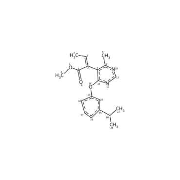 CC=C(C(=O)OC)c1c(C)ncnc1Oc1cccc(C(C)C)c1